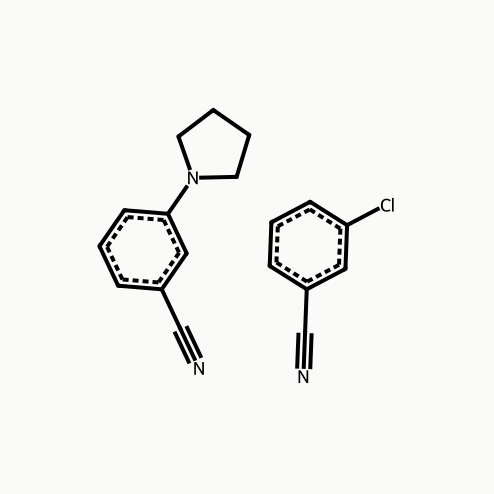 N#Cc1cccc(Cl)c1.N#Cc1cccc(N2CCCC2)c1